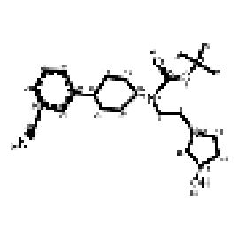 CC(C)(C)OC(=O)N(CCN1CC[C@@H](O)C1)[C@H]1CC[C@H](c2cccc(C#N)c2)CC1